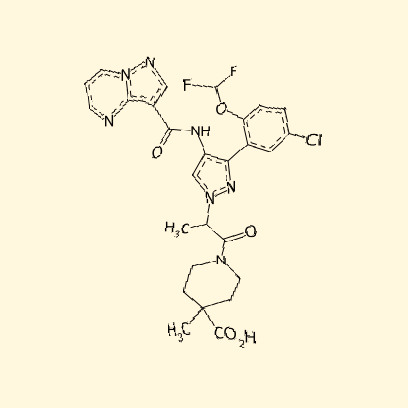 CC(C(=O)N1CCC(C)(C(=O)O)CC1)n1cc(NC(=O)c2cnn3cccnc23)c(-c2cc(Cl)ccc2OC(F)F)n1